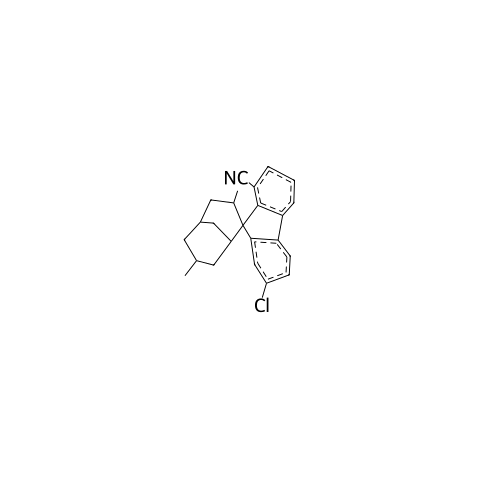 CC1CC2CC(C)C3(c4cc(Cl)ccc4-c4cccc(C#N)c43)C(C1)C2